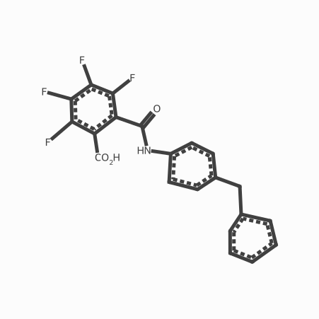 O=C(O)c1c(F)c(F)c(F)c(F)c1C(=O)Nc1ccc(Cc2ccccc2)cc1